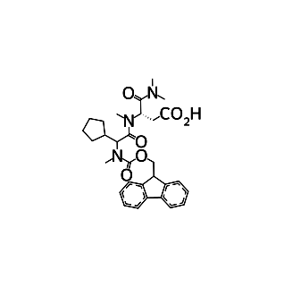 CN(C)C(=O)[C@H](CC(=O)O)N(C)C(=O)C(C1CCCC1)N(C)C(=O)OCC1c2ccccc2-c2ccccc21